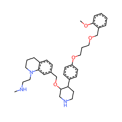 CNCCN1CCCc2ccc(COC3CNCCC3c3ccc(OCCCOCc4ccccc4OC)cc3)cc21